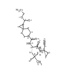 CCOC(=O)C1CC12CCN(C(=O)N[C@@H](CC(C)(F)F)C(=O)NC1(C#N)CC1)CC2